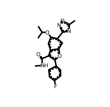 CNC(=O)c1c(-c2ccc(F)cc2)oc2cc(-c3noc(C)n3)c(OC(C)C)cc12